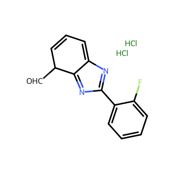 Cl.Cl.O=CC1C=CC=C2N=C(c3ccccc3F)N=C21